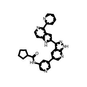 O=C(Nc1cncc(-c2cnc3[nH]nc(-c4cc5c(-c6ccccn6)nccc5[nH]4)c3c2)c1)C1CCCC1